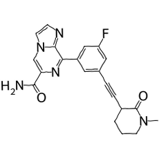 CN1CCCC(C#Cc2cc(F)cc(-c3nc(C(N)=O)cn4ccnc34)c2)C1=O